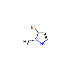 CN1[N]C=CC1Br